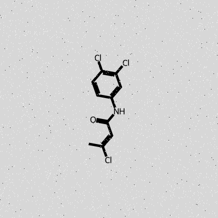 C/C(Cl)=C\C(=O)Nc1ccc(Cl)c(Cl)c1